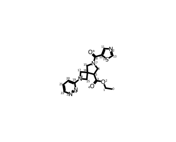 CCOC(=O)C1CN(C(=O)c2cncs2)CC12CN(c1cccnn1)C2